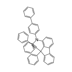 C(#CC1(c2ccccc2)c2ccccc2-c2cccc(N(c3ccccc3)c3ccc(-c4ccccc4)cc3)c21)c1ccccc1